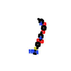 Cc1ccc(Oc2ccc(OCC3CCN(C(=O)Oc4ccc(CSc5ncc[nH]5)cc4)CC3)cc2)nc1